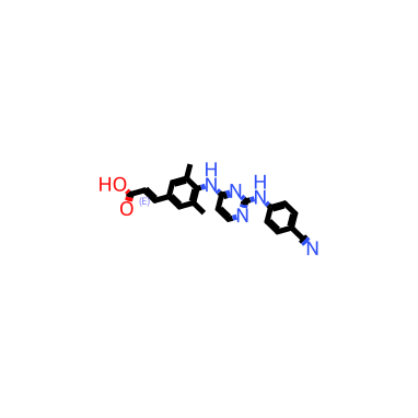 Cc1cc(/C=C/C(=O)O)cc(C)c1Nc1ccnc(Nc2ccc(C#N)cc2)n1